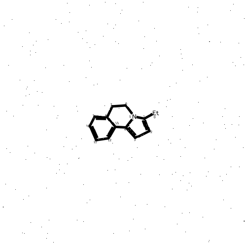 CCc1ccc2n1CCc1ccccc1-2